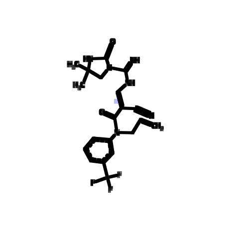 C=CCN(C(=O)/C(C#N)=C/NC(=N)N1CC(C)(C)NC1=O)c1cccc(C(F)(F)F)c1